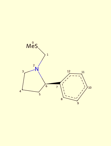 CSCN1CCC[C@@H]1c1ccccc1